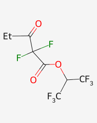 CCC(=O)C(F)(F)C(=O)OC(C(F)(F)F)C(F)(F)F